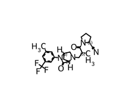 Cc1cc(N2C(=O)[C@@H]3C[C@H]2CN3C[C@H](C)C(=O)N2CCC[C@H]2C#N)cc(C(F)(F)F)c1